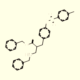 Cc1ccc(S(=O)(=O)Oc2ccc(CC(CNCc3ccccc3)C(=O)OCc3ccccc3)cc2)cc1